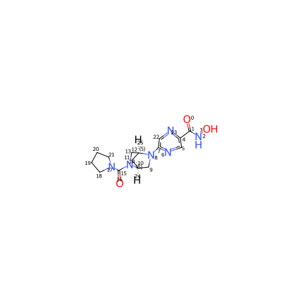 O=C(NO)c1cnc(N2C[C@@H]3C[C@H]2CN3C(=O)N2CCCC2)cn1